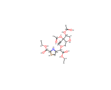 C#CC1(OC(C)=O)C(COC(C(=O)OCC)c2csc(C(=O)OCC)n2)OCC1OC(C)=O